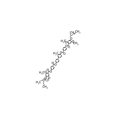 CCCCC(CC)COc1cc(OC)c(C(=O)Oc2ccc(C(=O)Oc3ccc(-c4ccc(OC(=O)c5ccc(OC(=O)c6cc(OC)c(OCC(CC)CCCC)cc6OC)cc5)c(C)c4)cc3)cc2)cc1OC